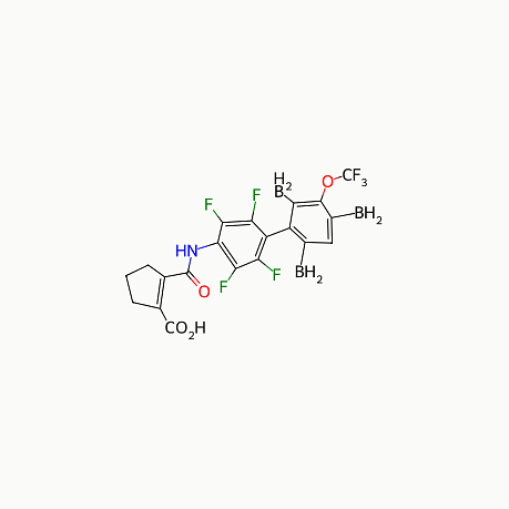 Bc1cc(B)c(-c2c(F)c(F)c(NC(=O)C3=C(C(=O)O)CCC3)c(F)c2F)c(B)c1OC(F)(F)F